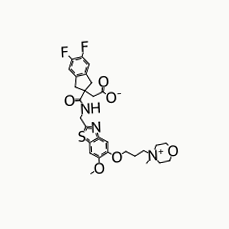 COc1cc2sc(CNC(=O)C3(CC(=O)[O-])Cc4cc(F)c(F)cc4C3)nc2cc1OCCC[N+]1(C)CCOCC1